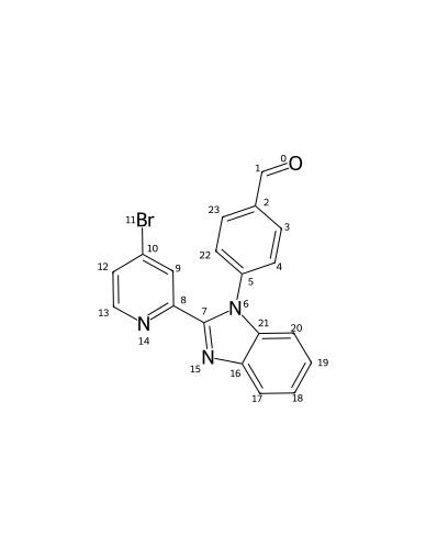 O=Cc1ccc(-n2c(-c3cc(Br)ccn3)nc3ccccc32)cc1